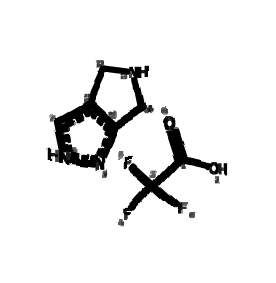 O=C(O)C(F)(F)F.c1[nH]nc2c1CNC2